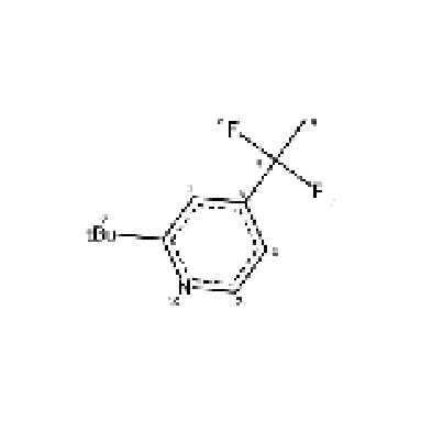 CC(C)(C)c1cc(C(C)(F)F)ccn1